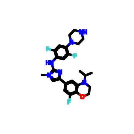 CC(C)N1CCOc2c(F)cc(-c3cn(C)c(Nc4cc(F)c(N5CCNCC5)cc4F)n3)cc21